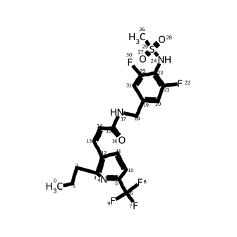 CCCc1nc(C(F)(F)F)ccc1/C=C\C(=O)NCc1cc(F)c(NS(C)(=O)=O)c(F)c1